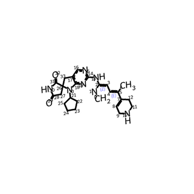 C=N/C(=C\C=C(/C)C1=CCNCC1)Nc1ncc2c(n1)N(C1CCCC1)C1(CC(=O)NC1=O)C2